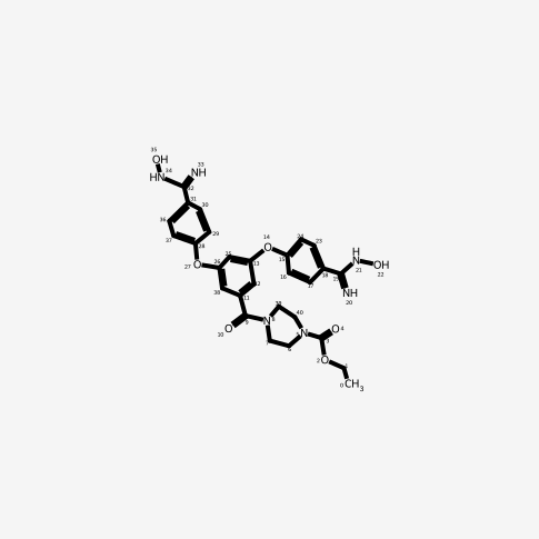 CCOC(=O)N1CCN(C(=O)c2cc(Oc3ccc(C(=N)NO)cc3)cc(Oc3ccc(C(=N)NO)cc3)c2)CC1